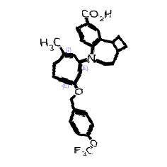 C/C1=C/C(N2CCC3CCC3c3cc(C(=O)O)ccc32)=C\C(OCc2ccc(OC(F)(F)F)cc2)=C/CC1